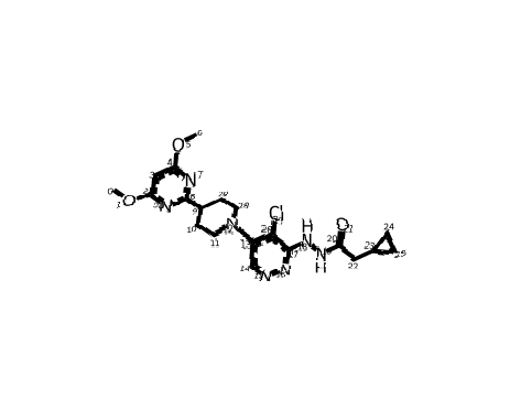 COc1cc(OC)nc(C2CCN(c3cnnc(NNC(=O)CC4CC4)c3Cl)CC2)n1